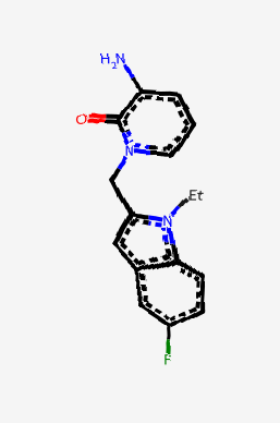 CCn1c(Cn2cccc(N)c2=O)cc2cc(F)ccc21